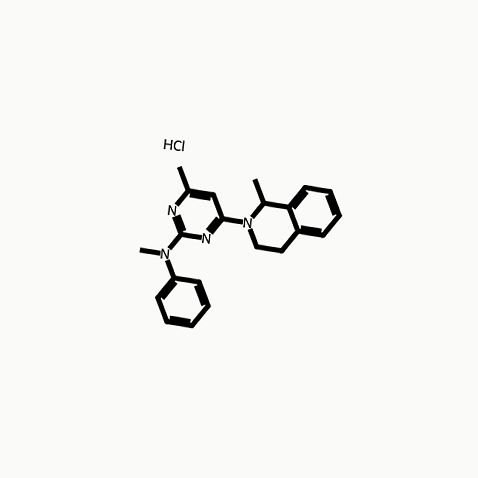 Cc1cc(N2CCc3ccccc3C2C)nc(N(C)c2ccccc2)n1.Cl